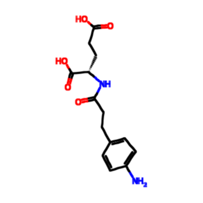 Nc1ccc(CCC(=O)N[C@@H](CCC(=O)O)C(=O)O)cc1